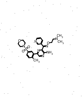 Cc1ccc(S(=O)(=O)N2CCOCC2)cc1-c1cnc(N)c(C(=NOCCN(C)C)c2cccnc2)n1